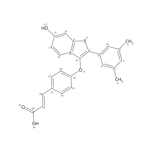 Cc1cc(C)cc(-c2sc3cc(O)ccc3c2Oc2ccc(C=CC(=O)O)cc2)c1